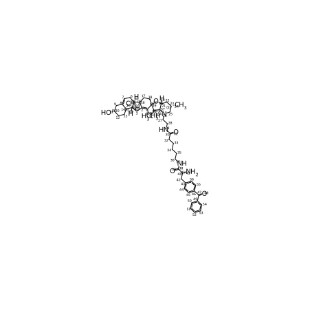 CC1=C2C[C@H]3[C@@H](CC=C4C[C@@H](O)CC[C@@]43C)[C@@H]2CC[C@]12O[C@@H]1C[C@H](C)CN(CCNC(=O)CCCCCNC(=O)[C@@H](N)Cc3ccc(C(=O)c4ccccc4)cc3)[C@H]1[C@H]2C